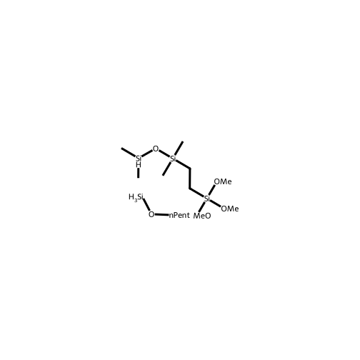 CCCCCO[SiH3].CO[Si](CC[Si](C)(C)O[SiH](C)C)(OC)OC